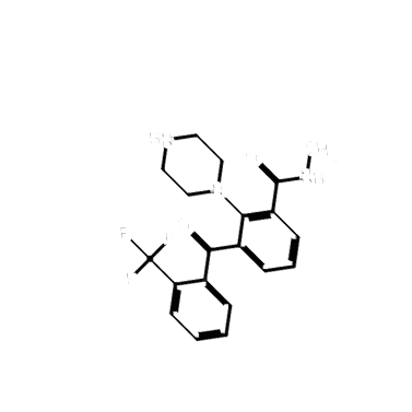 CNC(=O)c1cccc(C(=O)c2ccccc2C(F)(F)F)c1N1CCNCC1